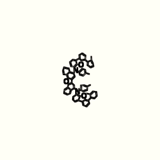 Cc1ccc(N(c2cc3c4cc(N(c5ccc(C)cc5)c5cccc6c5oc5c(-c7ccccc7C)cccc56)c5ccccc5c4oc3c3ccccc23)c2cccc3c2oc2c(-c4ccccc4C)cccc23)cc1